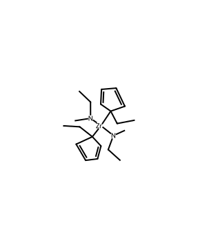 CC[N](C)[Zr]([N](C)CC)([C]1(CC)C=CC=C1)[C]1(CC)C=CC=C1